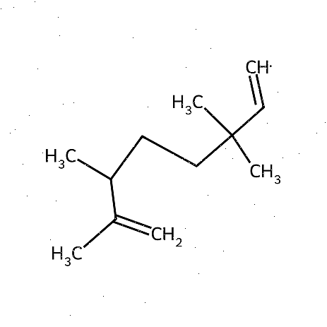 [CH]=CC(C)(C)CCC(C)C(=C)C